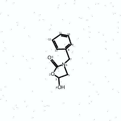 O=C1OC(O)CN1Cc1ccccc1